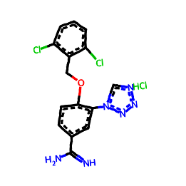 Cl.N=C(N)c1ccc(OCc2c(Cl)cccc2Cl)c(-n2cnnn2)c1